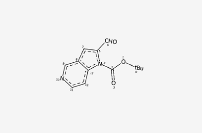 CC(C)(C)OC(=O)n1c(C=O)cc2cnccc21